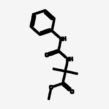 COC(=O)C(C)(C)NC(=O)Nc1ccccc1